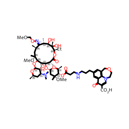 CC[C@H]1OC(=O)[C@H](C)[C@@H](O[C@H]2C[C@@](C)(OC)[C@@H](OC(=O)CCNCCCc3cc4c5c(c3)c(=O)c(C(=O)O)cn5CCOC4)[C@H](C)O2)[C@H](C)[C@@H](O[C@@H]2O[C@H](C)C[C@H](N(C)C)[C@H]2O)[C@](C)(OC)C[C@@H](C)/C(=N\OCOC)[C@H](C)[C@@H](O)[C@]1(C)O